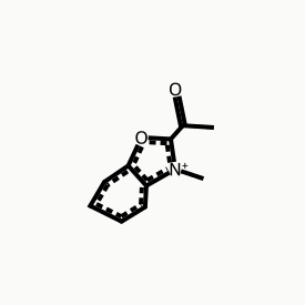 CC(=O)c1oc2ccccc2[n+]1C